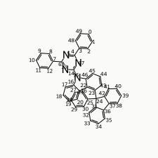 c1ccc(-c2nc(-c3ccccc3)nc(-n3c4ccccc4c4c(C5(c6ccccc6)c6ccccc6-c6ccccc65)cccc43)n2)cc1